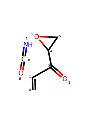 C=CC(=O)C1CO1.N=C=O